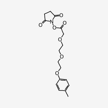 Cc1ccc(OCCOCCOCC(=O)ON2C(=O)CCC2=O)cc1